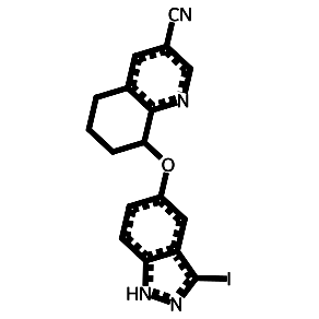 N#Cc1cnc2c(c1)CCCC2Oc1ccc2[nH]nc(I)c2c1